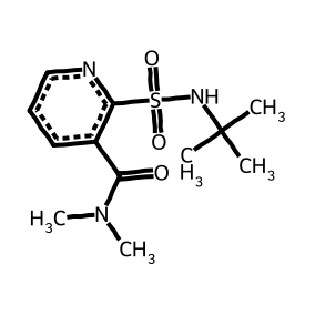 CN(C)C(=O)c1cccnc1S(=O)(=O)NC(C)(C)C